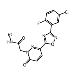 CCNC(=O)Cn1nc(-c2nc(-c3cc(Cl)ccc3F)no2)ccc1=O